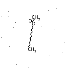 C=CC(=O)OCCCCCCC=CCCCC